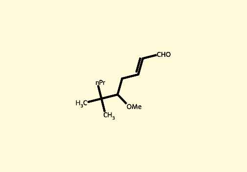 CCCC(C)(C)C(CC=CC=O)OC